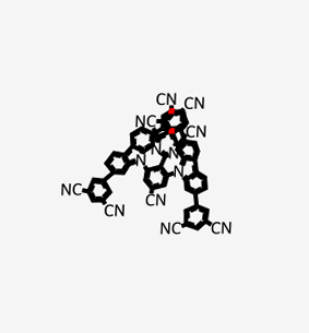 Cc1cc(C)nc(-c2c(-n3c4cc(-c5cc(C#N)cc(C#N)c5)ccc4c4ccc(-c5cc(C#N)cc(C#N)c5)cc43)cc(C#N)cc2-n2c3cc(-c4cc(C#N)cc(C#N)c4)ccc3c3ccc(-c4cc(C#N)cc(C#N)c4)cc32)n1